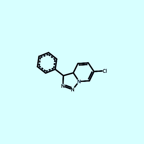 ClC1=CN2N=NC(c3ccccc3)C2C=C1